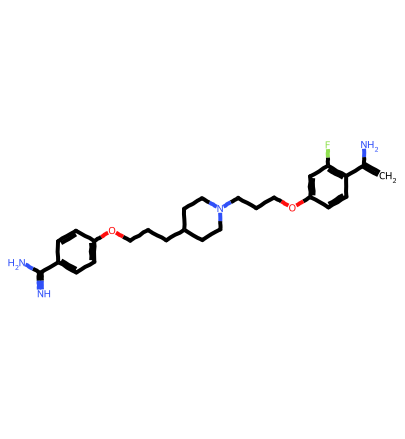 C=C(N)c1ccc(OCCCN2CCC(CCCOc3ccc(C(=N)N)cc3)CC2)cc1F